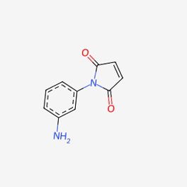 Nc1cccc(N2C(=O)C=CC2=O)c1